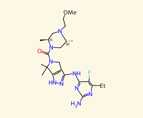 CCc1nc(N)nc(Nc2n[nH]c3c2CN(C(=O)N2C[C@@H](C)N(CCOC)C[C@@H]2C)C3(C)C)c1F